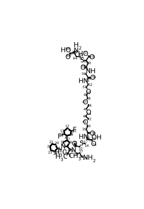 CC(C)(C)[C@H](c1cc(-c2cc(F)ccc2F)cn1Cc1ccccc1)N(CCCN)C(=O)CSC[C@H](NC(=O)CCOCCOCCOCCOCCNC(=O)CNC(=O)CC(SCC[C@H](N)C(=O)O)C(=O)O)C(=O)O